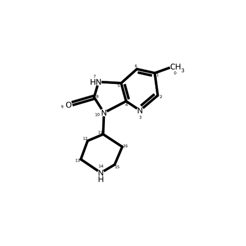 Cc1cnc2c(c1)[nH]c(=O)n2C1CCNCC1